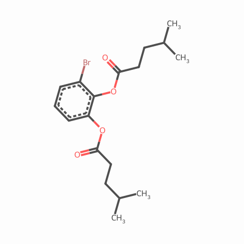 CC(C)CCC(=O)Oc1cccc(Br)c1OC(=O)CCC(C)C